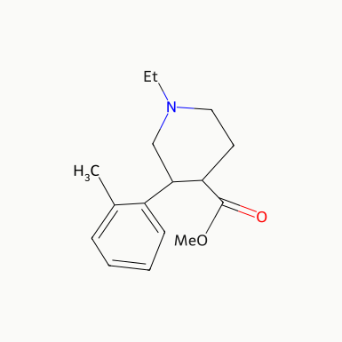 CCN1CCC(C(=O)OC)C(c2ccccc2C)C1